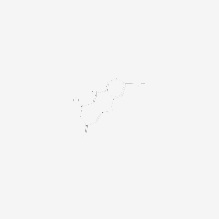 O=C1C=C2Oc3cc(O)ccc3N=C2C(=O)C1